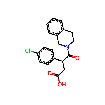 O=C(O)CC(C(=O)N1CCc2ccccc2C1)c1ccc(Cl)cc1